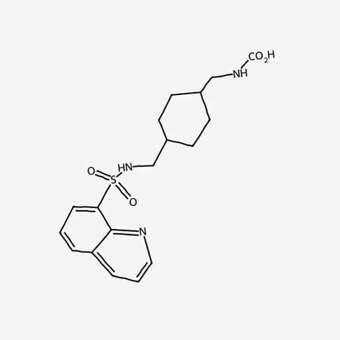 O=C(O)NCC1CCC(CNS(=O)(=O)c2cccc3cccnc23)CC1